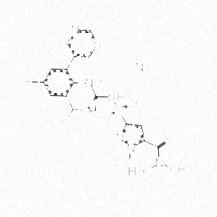 CC(C)c1cc(F)cc(-c2cncnc2)c1NC(=O)NS(=O)(=O)c1cc(C(=O)N(C)C)n(C)n1.[Na]